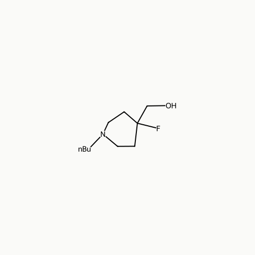 CCCCN1CCC(F)(CO)CC1